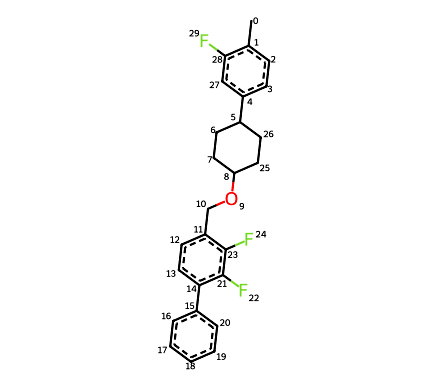 Cc1ccc(C2CCC(OCc3ccc(-c4ccccc4)c(F)c3F)CC2)cc1F